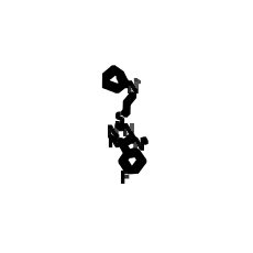 CN(CCCSc1nnc2c3cc(F)ccc3n(C)c2n1)c1ccccc1